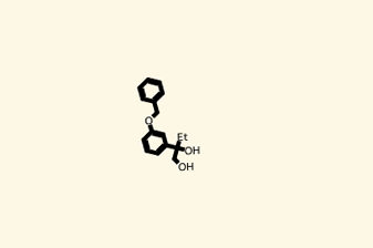 CCC(O)(CO)c1cccc(OCc2ccccc2)c1